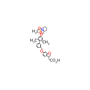 Cc1cc(OCC2CCCCN2S(C)(=O)=O)cc(C)c1-c1cccc(COc2ccc3c(c2)OCC3CC(=O)O)c1